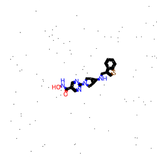 O=C(NO)c1cnc(N2CC3C(C2)C3NCc2csc3ccccc23)nc1